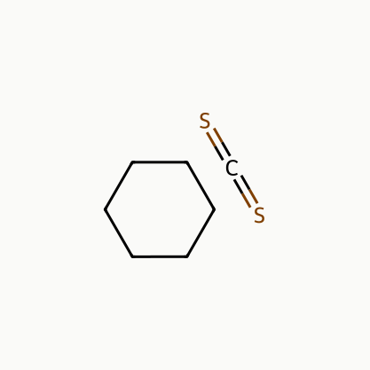 C1CCCCC1.S=C=S